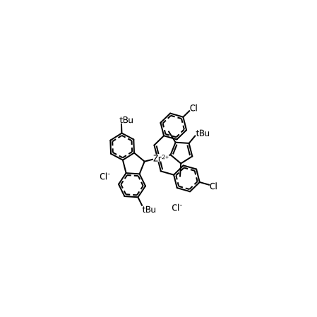 CC1=[C]([Zr+2](=[CH]c2ccc(Cl)cc2)(=[CH]c2ccc(Cl)cc2)[CH]2c3cc(C(C)(C)C)ccc3-c3ccc(C(C)(C)C)cc32)C(C)C=C1C(C)(C)C.[Cl-].[Cl-]